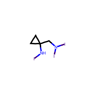 INC1(CN(I)I)CC1